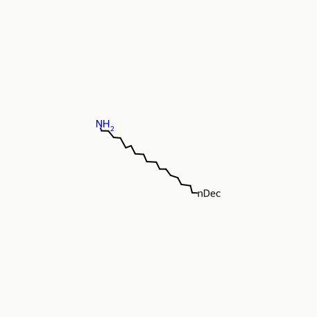 [CH2]CCCCCCCCCCCCCCCCCCCCCCCCCCN